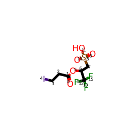 O=C(CCI)OC(CS(=O)(=O)O)C(F)(F)F